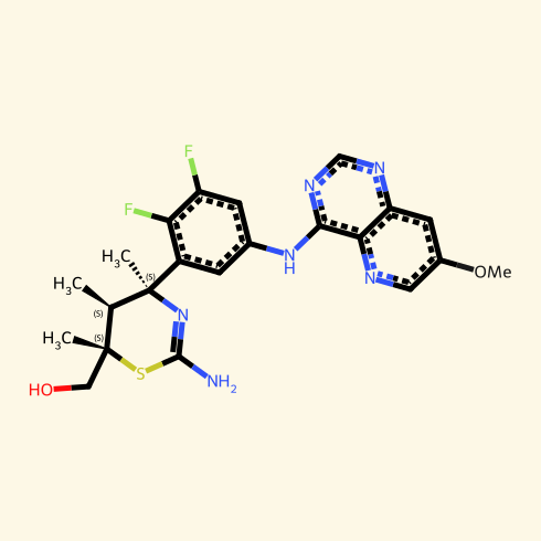 COc1cnc2c(Nc3cc(F)c(F)c([C@@]4(C)N=C(N)S[C@](C)(CO)[C@H]4C)c3)ncnc2c1